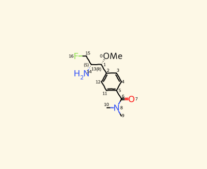 CO[C@H](c1ccc(C(=O)N(C)C)cc1)[C@H](N)CF